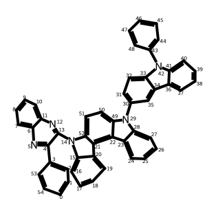 c1ccc(-c2nc3ccccc3nc2-n2c3ccccc3c3c4c5ccccc5n(-c5ccc6c(c5)c5ccccc5n6-c5ccccc5)c4ccc32)cc1